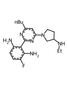 CCCCc1cc(N2CCC(NCC)C2)nc(-c2c(N)ccc(F)c2N)n1